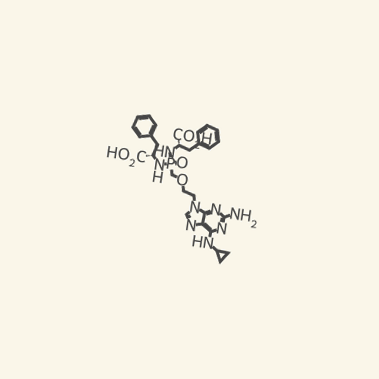 Nc1nc(NC2CC2)c2ncn(CCOCP(=O)(N[C@@H](Cc3ccccc3)C(=O)O)N[C@@H](Cc3ccccc3)C(=O)O)c2n1